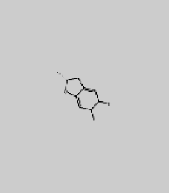 CC1C=C2O[C@H](C)CC2=CC1F